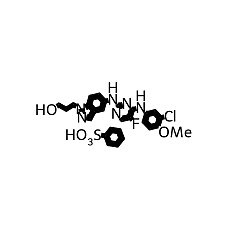 COc1ccc(Nc2nc(Nc3ccc4c(cnn4CCCO)c3)ncc2F)cc1Cl.O=S(=O)(O)c1ccccc1